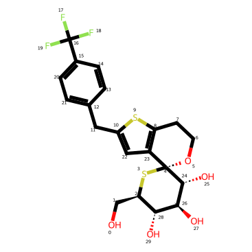 OC[C@H]1S[C@]2(OCCc3sc(Cc4ccc(C(F)(F)F)cc4)cc32)[C@H](O)[C@@H](O)[C@@H]1O